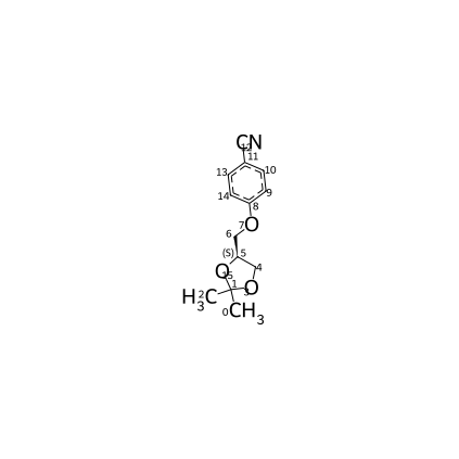 CC1(C)OC[C@H](COc2ccc(C#N)cc2)O1